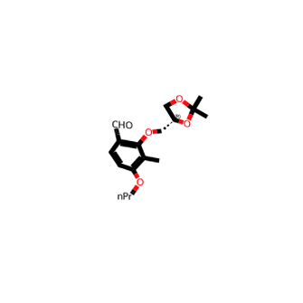 CCCOc1ccc(C=O)c(OC[C@@H]2COC(C)(C)O2)c1C